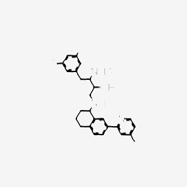 CC(=O)NC(Cc1cc(F)cc(F)c1)C(O)CNC1CCCc2ccc(-c3cc(C)ccn3)cc21